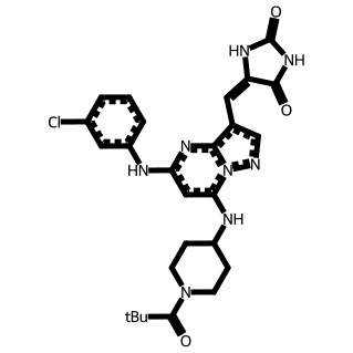 CC(C)(C)C(=O)N1CCC(Nc2cc(Nc3cccc(Cl)c3)nc3c(C=C4NC(=O)NC4=O)cnn23)CC1